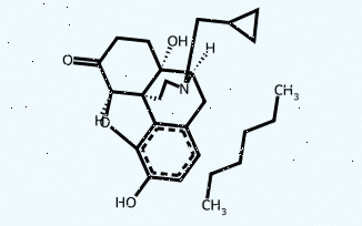 CCCCCC.O=C1CC[C@@]2(O)[C@H]3Cc4ccc(O)c5c4[C@@]2(CCN3CC2CC2)[C@H]1O5